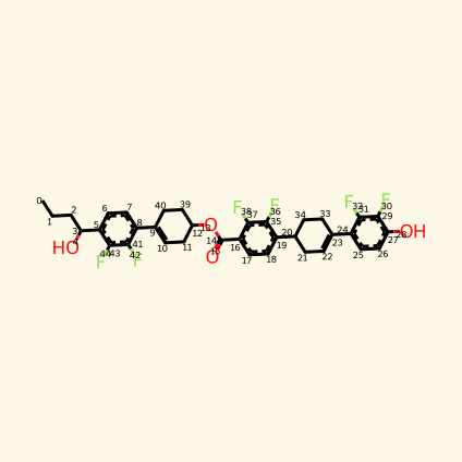 CCCC(O)c1ccc(C2=CCC(OC(=O)c3ccc(C4CC=C(c5ccc(O)c(F)c5F)CC4)c(F)c3F)CC2)c(F)c1F